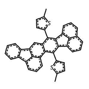 Cc1ccc(-c2c3cc4c5ccccc5c5cccc(c3c(-c3ccc(C)s3)c3c6cccc7cccc(c23)c76)c54)s1